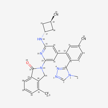 Cn1cnnc1-c1ccc(C#N)cc1-c1cc(N[C@H]2C[C@H](C#N)C2)nc(N2Cc3c(cccc3C(F)(F)F)C2=O)c1